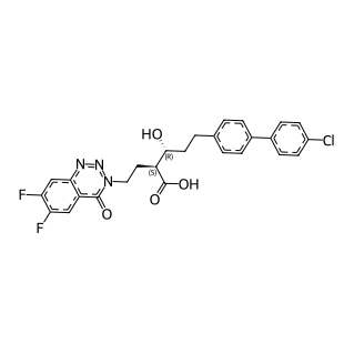 O=C(O)[C@@H](CCn1nnc2cc(F)c(F)cc2c1=O)[C@H](O)CCc1ccc(-c2ccc(Cl)cc2)cc1